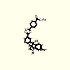 COC(=O)C1CCC(c2nc(-c3cncc(C(O)(c4ccc(C(C)C)cc4)C4(C)CN(C)C4)c3)no2)CC1